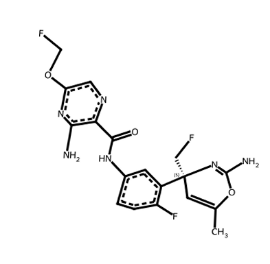 CC1=C[C@@](CF)(c2cc(NC(=O)c3ncc(OCF)nc3N)ccc2F)N=C(N)O1